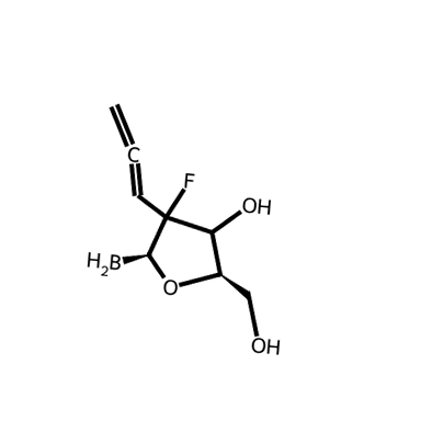 B[C@@H]1O[C@H](CO)C(O)C1(F)C=C=C